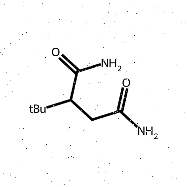 CC(C)(C)C(CC(N)=O)C(N)=O